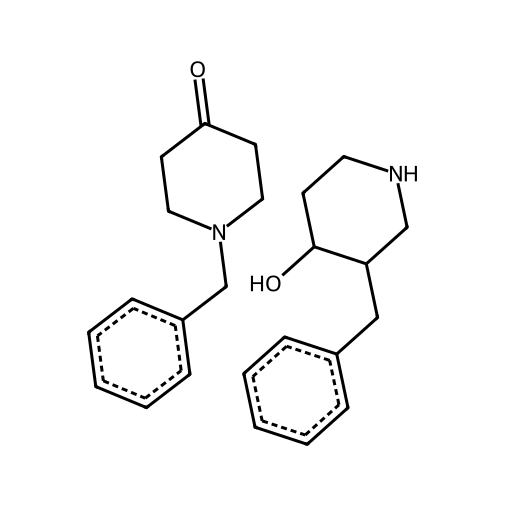 O=C1CCN(Cc2ccccc2)CC1.OC1CCNCC1Cc1ccccc1